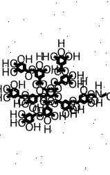 O=C(NCCCl)Oc1c(O)cc(C(=O)Oc2cc(C(=O)OC3C(OC(=O)c4cc(O)c(O)c(OC(=O)c5cc(O)c(O)c(O)c5)c4)OC(COC(=O)c4cc(O)c(O)c(OC(=O)c5cc(O)c(O)c(O)c5)c4)C(OC(=O)c4cc(O)c(O)c(OC(=O)c5cc(O)c(O)c(O)c5)c4)C3OC(=O)c3cc(O)c(O)c(OC(=O)c4cc(O)c(O)c(O)c4)c3)cc(O)c2O)cc1O